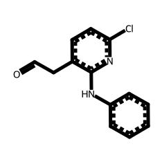 O=CCc1ccc(Cl)nc1Nc1ccccc1